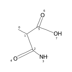 CC(C([NH])=O)C(=O)O